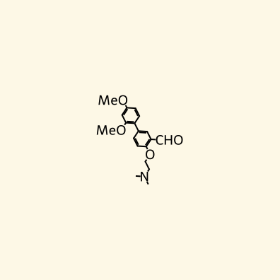 COc1ccc(-c2ccc(OCCN(C)C)c(C=O)c2)c(OC)c1